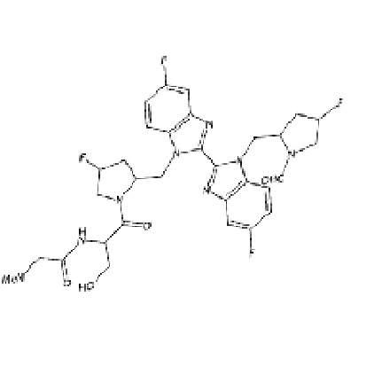 CNCC(=O)NC(CO)C(=O)N1CC(F)CC1Cn1c(-c2nc3cc(F)ccc3n2CC2CC(F)CN2C=O)nc2cc(F)ccc21